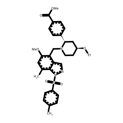 CCO[C@H]1CCN(Cc2c(OC)cc(C)c3c2cnn3S(=O)(=O)c2ccc(C)cc2)[C@H](c2ccc(C(=O)OC)cc2)C1